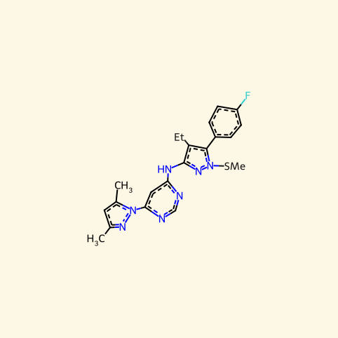 CCc1c(Nc2cc(-n3nc(C)cc3C)ncn2)nn(SC)c1-c1ccc(F)cc1